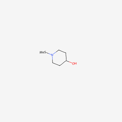 CSN1CCC(O)CC1